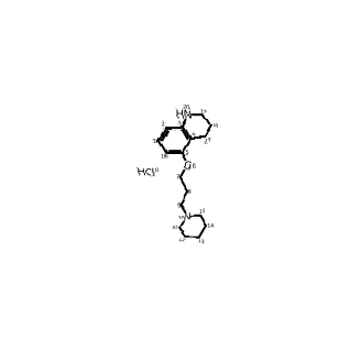 Cl.c1cc2c(c(OCCCN3CCCCC3)c1)CCCN2